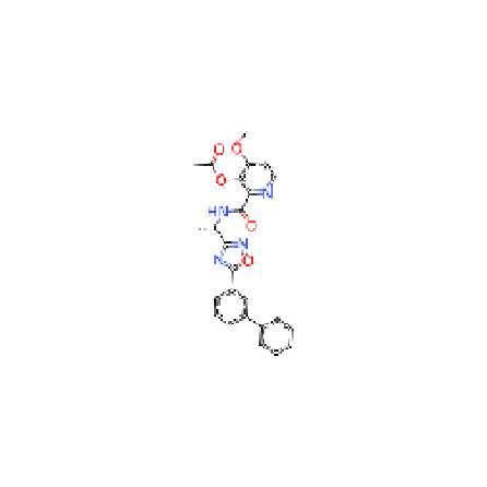 COc1ccnc(C(=O)N[C@@H](C)c2noc(-c3cccc(-c4ccccc4)c3)n2)c1OC(C)=O